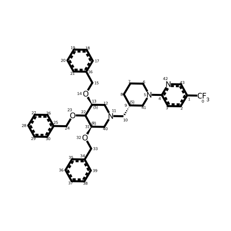 FC(F)(F)c1ccc(N2CCC[C@@H](CN3C[C@H](OCc4ccccc4)C(OCc4ccccc4)[C@H](OCc4ccccc4)C3)C2)nc1